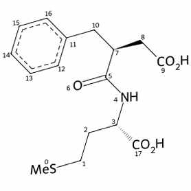 CSCC[C@H](NC(=O)[C@H](CC(=O)O)Cc1ccccc1)C(=O)O